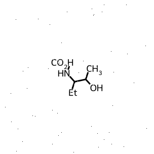 CCC(NC(=O)O)C(C)O